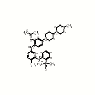 Cc1cnc(Nc2ccc(N3CCC(N4CCN(C)CC4)CC3)cc2OC(C)C)nc1Nc1ccccc1P(C)(C)=O